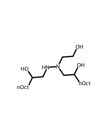 CCCCCCCCC(O)CNN(CCO)CC(O)CCCCCCCC